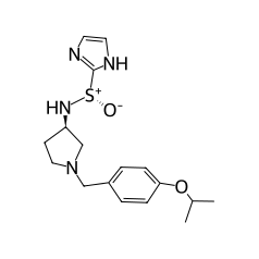 CC(C)Oc1ccc(CN2CC[C@@H](N[S@@+]([O-])c3ncc[nH]3)C2)cc1